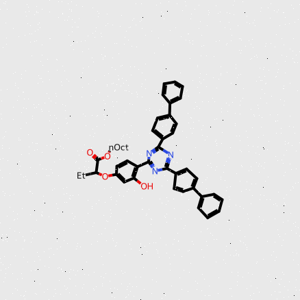 CCCCCCCCOC(=O)C(CC)Oc1ccc(-c2nc(-c3ccc(-c4ccccc4)cc3)nc(-c3ccc(-c4ccccc4)cc3)n2)c(O)c1